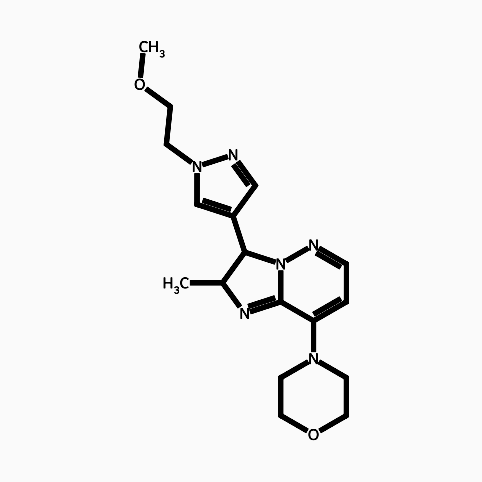 COCCn1cc(C2C(C)N=C3C(N4CCOCC4)=CC=NN32)cn1